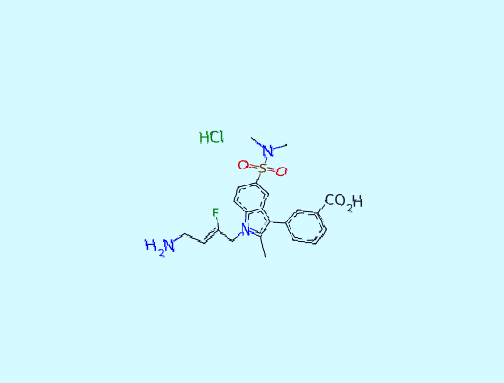 Cc1c(-c2cccc(C(=O)O)c2)c2cc(S(=O)(=O)N(C)C)ccc2n1CC(F)=CCN.Cl